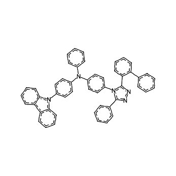 c1ccc(-c2ccccc2-c2nnc(-c3ccccc3)n2-c2ccc(N(c3ccccc3)c3ccc(-n4c5ccccc5c5ccccc54)cc3)cc2)cc1